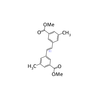 COC(=O)c1cc(C)cc(/C=C/c2cc(C)cc(C(=O)OC)c2)c1